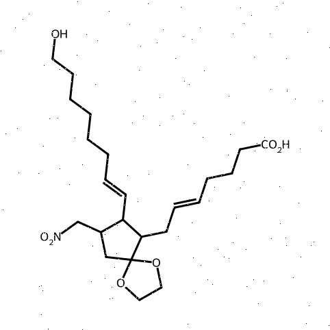 O=C(O)CCCC=CCC1C(C=CCCCCCCO)C(C[N+](=O)[O-])CC12OCCO2